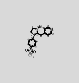 CCN1CCN(c2ccc(S(=O)(=O)C(F)(F)F)cc2)C1Cc1ccncc1